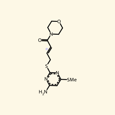 CSc1cc(N)nc(SC/C=C/C(=O)N2CCOCC2)n1